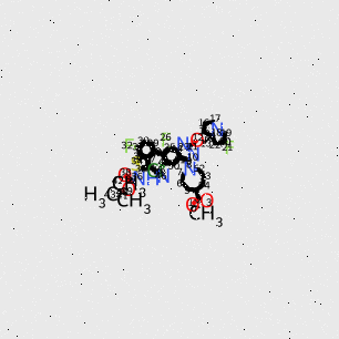 COC(=O)C1CCCN(c2nc(OC[C@@]34CCCN3C[C@H](F)C4)nc3c(F)c(-c4ccc(F)c5sc(NC(=O)OC(C)(C)C)c(C#N)c45)c(Cl)cc23)CCC1